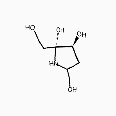 OC[C@]1(O)NC(O)C[C@@H]1O